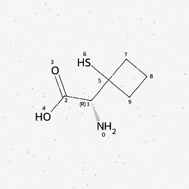 N[C@H](C(=O)O)C1(S)CCC1